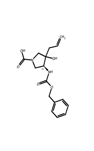 C=CCC1(O)CN(C(=O)O)C[C@@H]1NC(=O)OCc1ccccc1